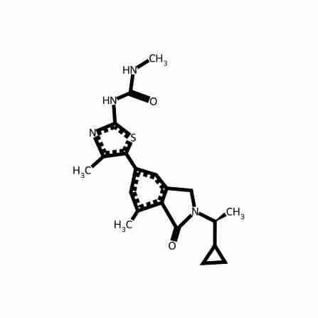 CNC(=O)Nc1nc(C)c(-c2cc(C)c3c(c2)CN([C@@H](C)C2CC2)C3=O)s1